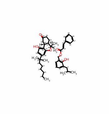 CC(C)Cc1cccc(COC(=O)/C=C/c2ccccc2)c1O.CCCCCCC(C)(C)c1cc(O)c2c(c1)OC(C)(C)[C@@H]1CCC(=O)C[C@@H]21